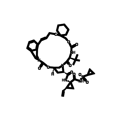 C=C[C@@H]1C[C@]1(NC(=O)[C@@H]1C[C@@H]2CN1C(=O)[C@H](C(C)(C)C)NC(=O)OCC1(CC/C=C/c3cccc4c3CN(C4)C(=O)O2)CCCCC1)C(=O)NS(=O)(=O)C1CC1